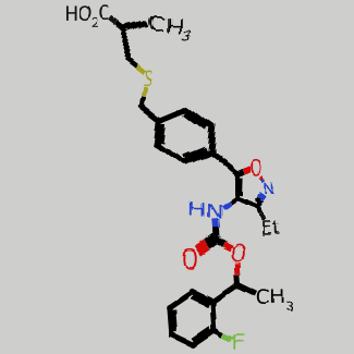 CCc1noc(-c2ccc(CSCC(C)C(=O)O)cc2)c1NC(=O)OC(C)c1ccccc1F